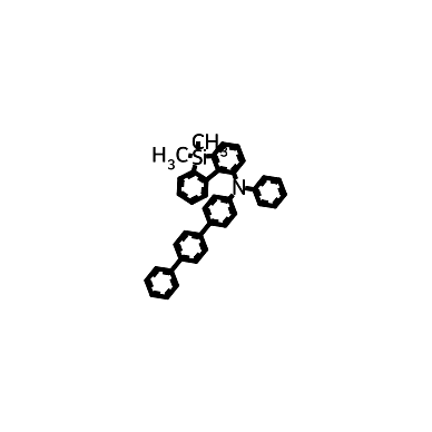 C[Si]1(C)c2ccccc2-c2c(N(c3ccccc3)c3ccc(-c4ccc(-c5ccccc5)cc4)cc3)cccc21